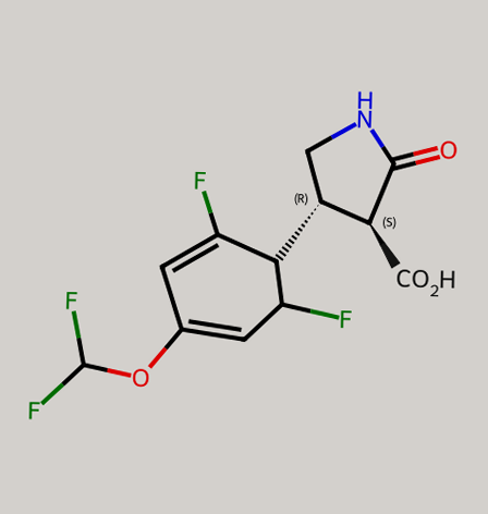 O=C(O)[C@@H]1C(=O)NC[C@H]1C1C(F)=CC(OC(F)F)=CC1F